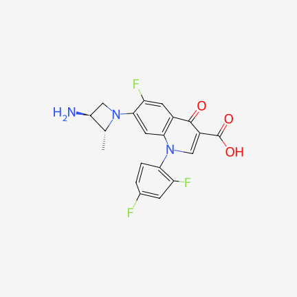 C[C@@H]1[C@@H](N)CN1c1cc2c(cc1F)c(=O)c(C(=O)O)cn2-c1ccc(F)cc1F